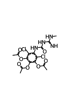 CNC(=N)NC(=O)Nc1c(Cl)c(OC(C)=O)c(OC(C)=O)c(OC(C)=O)c1Cl